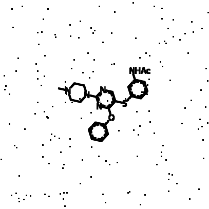 CC(=O)Nc1cccc(Sc2cnc(N3CCN(C)CC3)nc2Oc2ccccc2)c1